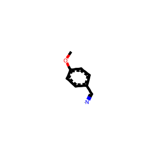 COc1ccc(C=[N])cc1